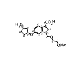 COCCOCn1nc(C(=O)O)c2ccc(OC3CCN(C)C3)cc21